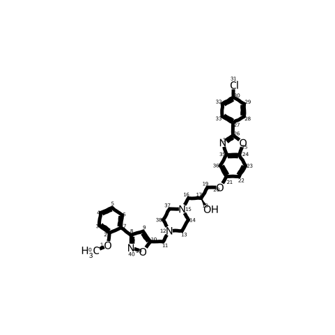 COc1ccccc1-c1cc(CN2CCN(C[C@H](O)COc3ccc4oc(-c5ccc(Cl)cc5)nc4c3)CC2)on1